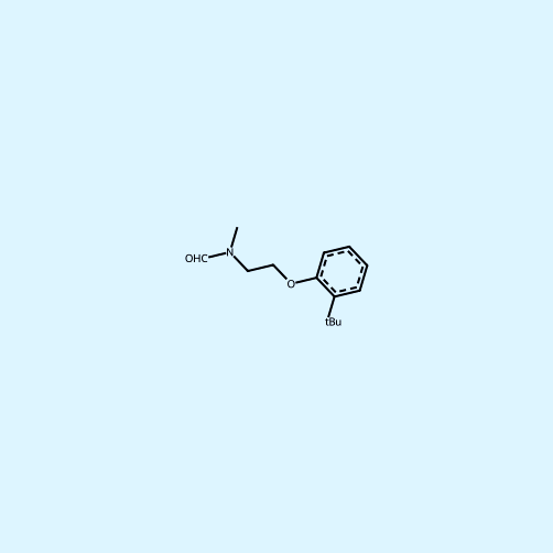 CN(C=O)CCOc1ccccc1C(C)(C)C